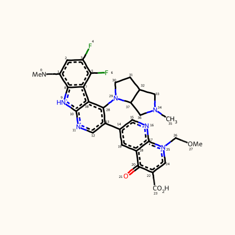 CNc1cc(F)c(F)c2c1[nH]c1ncc(-c3cnc4c(c3)c(=O)c(C(=O)O)cn4COC)c(N3CCC4CN(C)CC43)c12